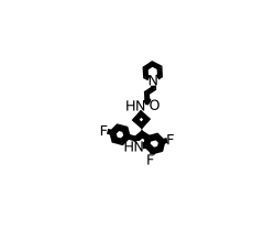 O=C(CCN1CCCCC1)N[C@H]1C[C@@H](c2c(-c3ccc(F)cc3)[nH]c3c(F)cc(F)cc32)C1